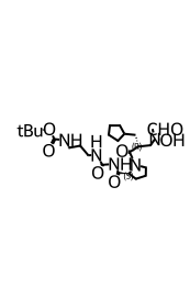 CC(C)(C)OC(=O)NCCCNC(=O)NC(=O)[C@@H]1CCCN1C(=O)[C@H](CC1CCCC1)CN(O)C=O